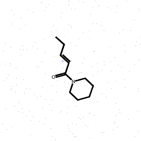 CC/C=C/C(=O)N1CCCCC1